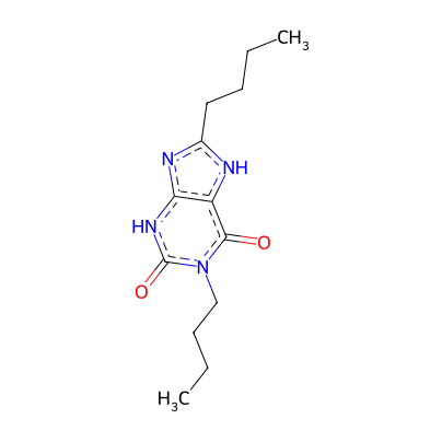 CCCCc1nc2[nH]c(=O)n(CCCC)c(=O)c2[nH]1